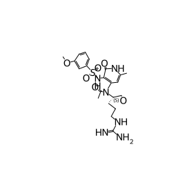 COc1cccc(S(=O)(=O)Nc2c(N(C(C)=O)[C@H](C=O)CCCNC(=N)N)cc(C)[nH]c2=O)c1